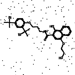 CCC(C)(C)c1ccc(OCCCNC(=O)c2cc(OCCO)c3ccccc3c2O)c(C(C)(C)CC)c1